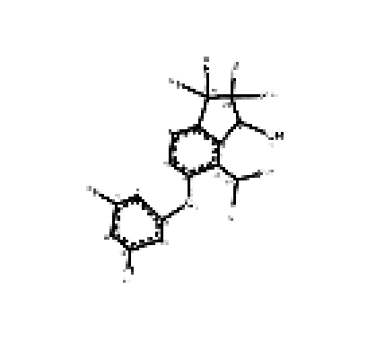 OC1c2c(ccc(Oc3cc(F)cc(Cl)c3)c2C(F)F)C(F)(F)C1(F)F